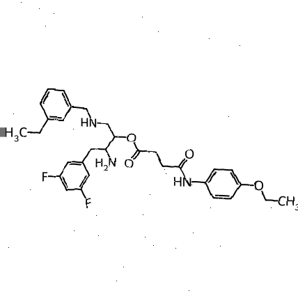 CCOc1ccc(NC(=O)CCC(=O)OC(CNCc2cccc(CC)c2)C(N)Cc2cc(F)cc(F)c2)cc1